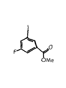 COC(=O)c1cc(F)cc(I)c1